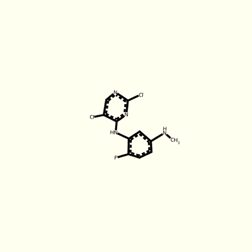 CNc1ccc(F)c(Nc2nc(Cl)ncc2Cl)c1